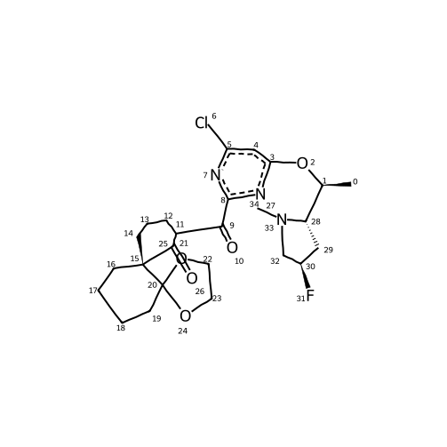 C[C@H](Oc1cc(Cl)nc(C(=O)C2CCC[C@@]3(CCCCC34OCCO4)C2=O)n1)[C@@H]1C[C@@H](F)CN1C